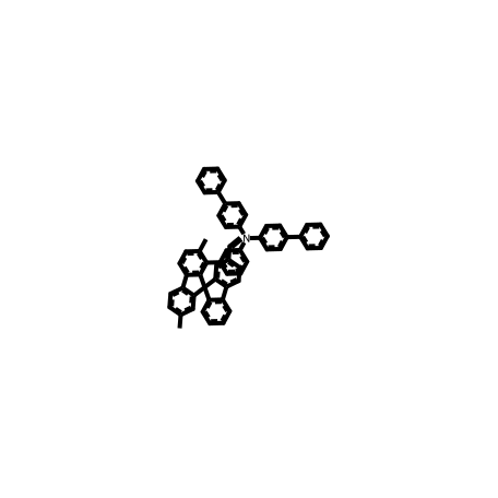 C=Cc1ccc2c(c1)C1(c3ccccc3-2)c2cc(C)ccc2-c2ccc(C)c(-c3cccc(N(c4ccc(-c5ccccc5)cc4)c4ccc(-c5ccccc5)cc4)c3)c21